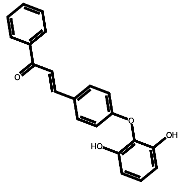 O=C(C=Cc1ccc(Oc2c(O)cccc2O)cc1)c1ccccc1